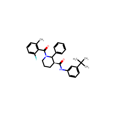 Cc1cccc(F)c1C(=O)N1CCC[C@H](C(=O)Nc2cccc(C(C)(C)C)c2)C1c1ccccc1